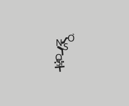 COCc1ncc(CO[Si](C)(C)C(C)(C)C)s1